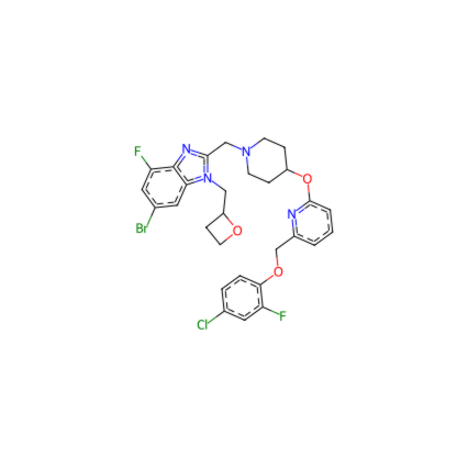 Fc1cc(Cl)ccc1OCc1cccc(OC2CCN(Cc3nc4c(F)cc(Br)cc4n3CC3CCO3)CC2)n1